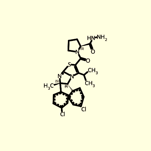 CC(C)C1=C(C(=O)N2CCC[C@H]2C(=O)NN)SC2=N[C@@](C)(c3ccc(Cl)cc3)[C@@H](c3ccc(Cl)cc3)N21